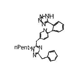 CCCCCn1nc(Cc2ccccc2)nc1Cc1ccc(-c2ccccc2-c2nnn[nH]2)nc1